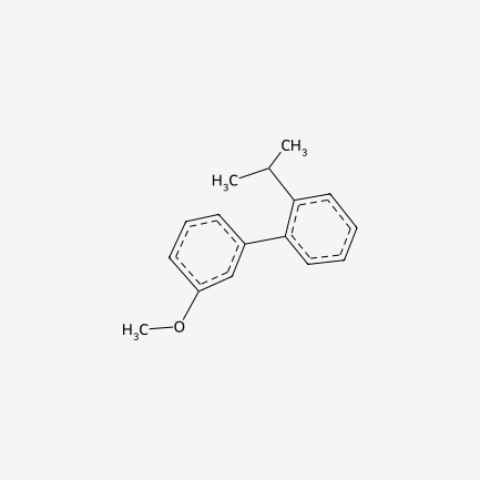 COc1cccc(-c2ccccc2C(C)C)c1